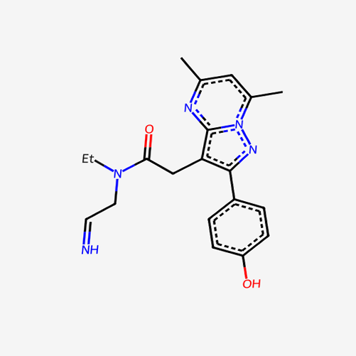 CCN(CC=N)C(=O)Cc1c(-c2ccc(O)cc2)nn2c(C)cc(C)nc12